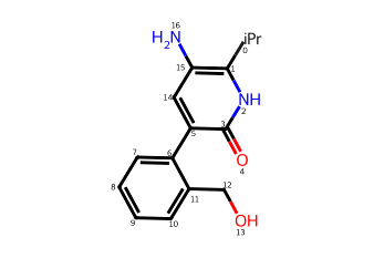 CC(C)c1[nH]c(=O)c(-c2ccccc2CO)cc1N